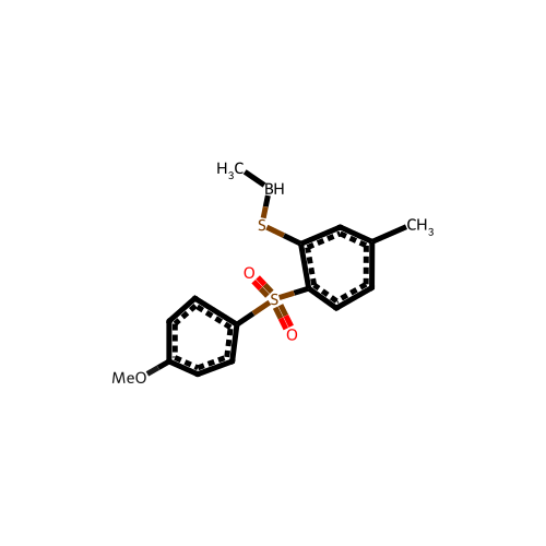 CBSc1cc(C)ccc1S(=O)(=O)c1ccc(OC)cc1